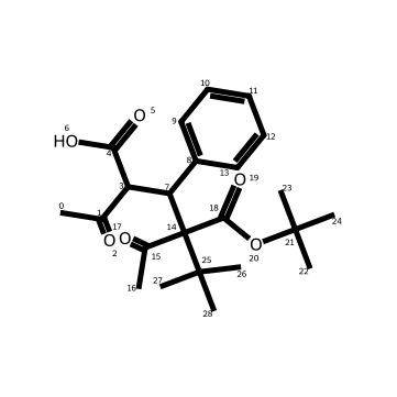 CC(=O)C(C(=O)O)C(c1ccccc1)C(C(C)=O)(C(=O)OC(C)(C)C)C(C)(C)C